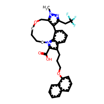 Cn1nc(CC(F)(F)F)c2c1COCCCCn1c(C(=O)O)c(CCCOc3cccc4ccccc34)c3cccc-2c31